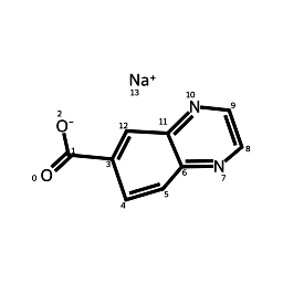 O=C([O-])c1ccc2nccnc2c1.[Na+]